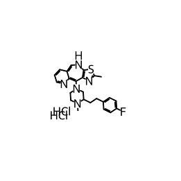 Cc1nc2c(s1)NC=c1cccnc1=C2N1CCN(C)C(CCc2ccc(F)cc2)C1.Cl.Cl